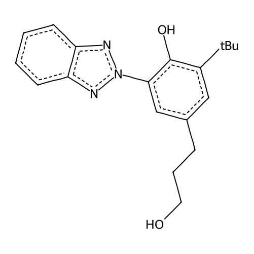 CC(C)(C)c1cc(CCCO)cc(-n2nc3ccccc3n2)c1O